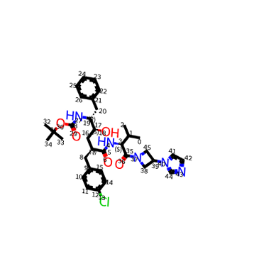 CC(C)[C@H](NC(=O)[C@@H](Cc1ccc(Cl)cc1)C[C@H](O)[C@@H](Cc1ccccc1)NC(=O)OC(C)(C)C)C(=O)N1CC(n2ccnc2)C1